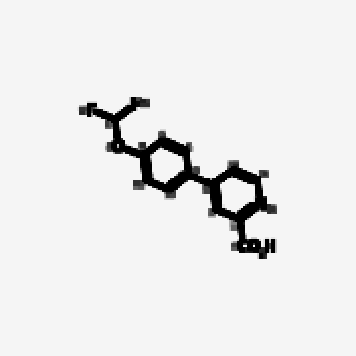 O=C(O)c1cc(-c2ccc(OC(F)F)cc2)ccn1